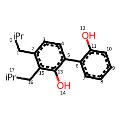 CC(C)Cc1ccc(-c2ccccc2O)c(O)c1CC(C)C